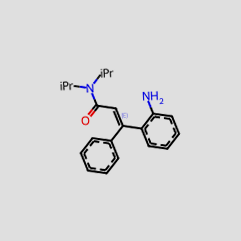 CC(C)N(C(=O)/C=C(\c1ccccc1)c1ccccc1N)C(C)C